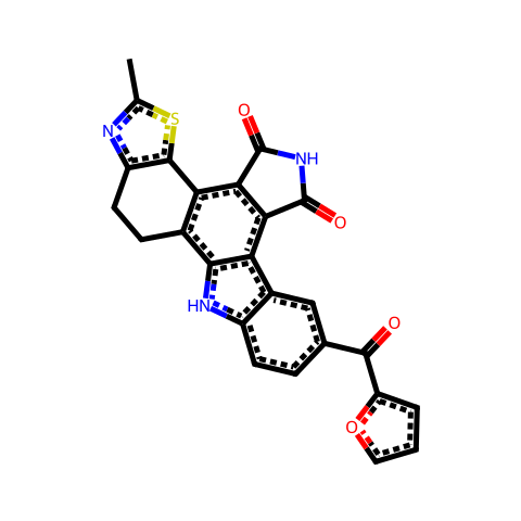 Cc1nc2c(s1)-c1c3c(c4c([nH]c5ccc(C(=O)c6ccco6)cc54)c1CC2)C(=O)NC3=O